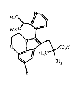 CO[C@@H](C)c1ncccc1-c1c(CC(C)(C)C(=O)O)c2cc(Br)cc3c2n1CCO3